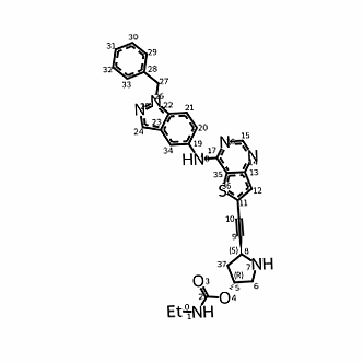 CCNC(=O)O[C@H]1CN[C@H](C#Cc2cc3ncnc(Nc4ccc5c(cnn5Cc5ccccc5)c4)c3s2)C1